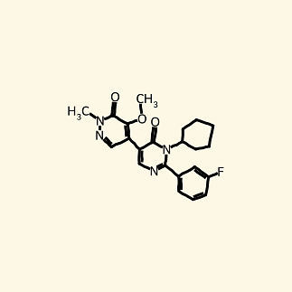 COc1c(-c2cnc(-c3cccc(F)c3)n(C3CCCCC3)c2=O)cnn(C)c1=O